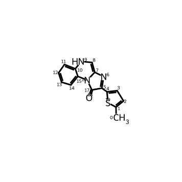 Cc1ccc(-c2nc3c[nH]c4ccccc4n-3c2=O)s1